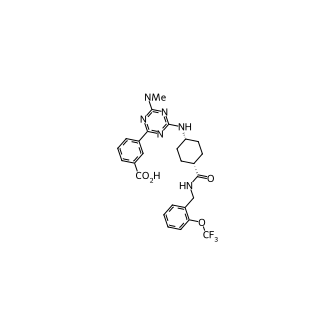 CNc1nc(N[C@H]2CC[C@@H](C(=O)NCc3ccccc3OC(F)(F)F)CC2)nc(-c2cccc(C(=O)O)c2)n1